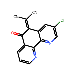 [C-]#[N+]/C(C#N)=C1\C(=O)c2cccnc2-c2ncc(Cl)cc21